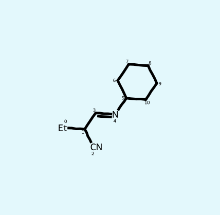 CCC(C#N)C=NC1CCCCC1